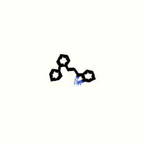 C(=Cc1n[nH]c2ccccc12)c1ccccc1-c1ccccc1